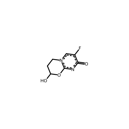 O=c1nc2n(cc1F)CCC(O)O2